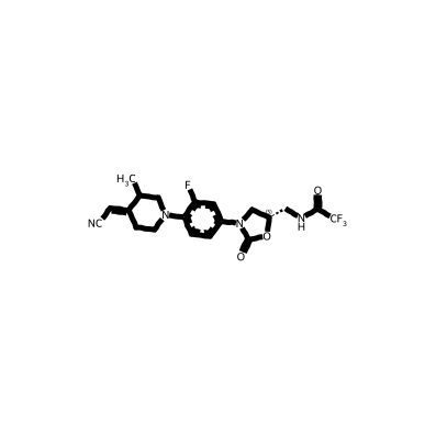 CC1CN(c2ccc(N3C[C@H](CNC(=O)C(F)(F)F)OC3=O)cc2F)CCC1=CC#N